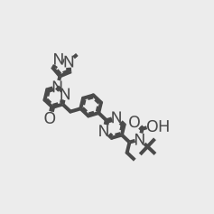 CCC(c1cnc(-c2cccc(Cc3nn(-c4cnn(C)c4)ccc3=O)c2)nc1)N(C(=O)O)C(C)(C)C